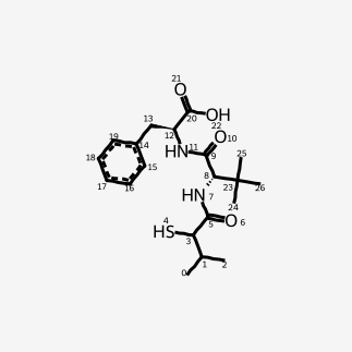 CC(C)C(S)C(=O)N[C@H](C(=O)N[C@@H](Cc1ccccc1)C(=O)O)C(C)(C)C